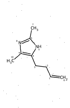 C=CCCc1[nH]c(C)nc1C